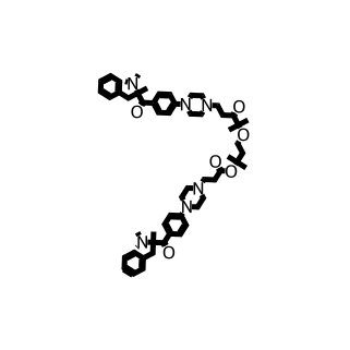 CN(C)C(C)(Cc1cc#ccc1)C(=O)c1ccc(N2CCN(CCC(=O)OC(C)(C)CCOC(C)(C)C(=O)CCN3CCN(c4ccc(C(=O)C(C)(Cc5ccccc5)N(C)C)cc4)CC3)CC2)cc1